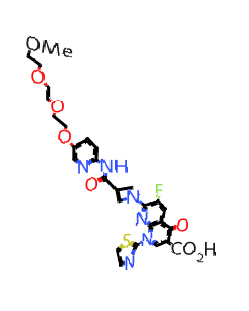 COCCOCCOCCOc1ccc(NC(=O)C2CN(c3nc4c(cc3F)c(=O)c(C(=O)O)cn4-c3nccs3)C2)nc1